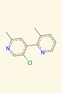 Cc1cc(-c2ncccc2C)c(Cl)cn1